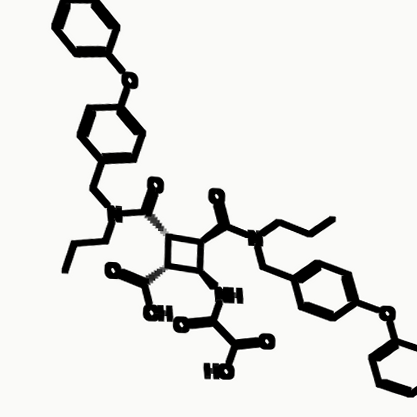 CCCN(Cc1ccc(Oc2ccccc2)cc1)C(=O)[C@H]1[C@@H](C(=O)O)[C@H](NC(=O)C(=O)O)[C@@H]1C(=O)N(CCC)Cc1ccc(Oc2ccccc2)cc1